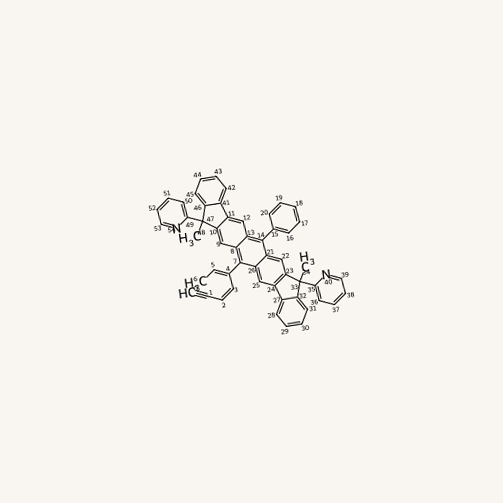 C#C/C=C\C(=C/C)c1c2cc3c(cc2c(-c2ccccc2)c2cc4c(cc12)-c1ccccc1C4(C)c1ccccn1)-c1ccccc1C3(C)c1ccccn1